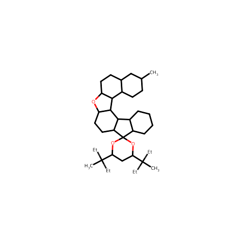 CCC(C)(CC)C1CC(C(C)(CC)CC)OC2(O1)C1CCCCC1C1C3C(CCC12)OC1CCC2CC(C)CCC2C13